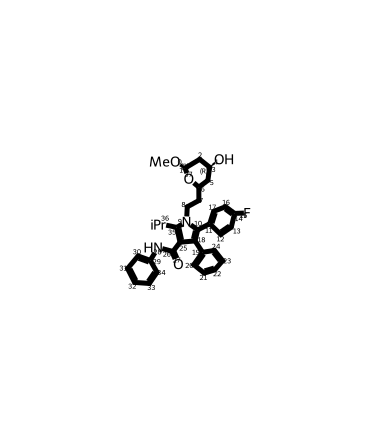 CO[C@H]1C[C@H](O)CC(CCn2c(-c3ccc(F)cc3)c(-c3ccccc3)c(C(=O)Nc3ccccc3)c2C(C)C)O1